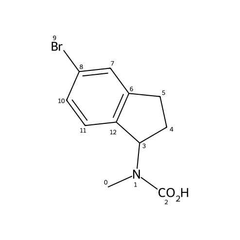 CN(C(=O)O)C1CCc2cc(Br)ccc21